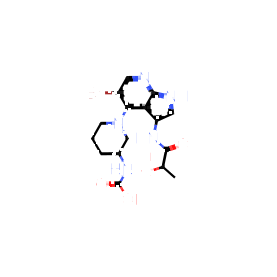 CC(O)C(=O)Nc1c[nH]c2ncc(Br)c(N3CCCC(NC(=O)O)C3)c12